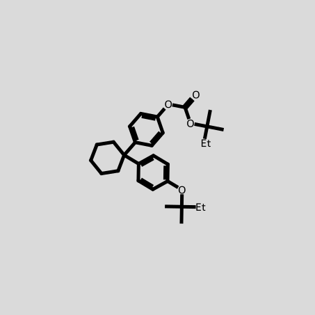 CCC(C)(C)OC(=O)Oc1ccc(C2(c3ccc(OC(C)(C)CC)cc3)CCCCC2)cc1